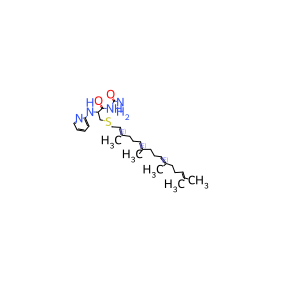 CC(C)=CCC/C(C)=C/CC/C(C)=C/CC/C(C)=C/CSCC(Nc1ccccn1)C(=O)NC(N)=O